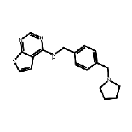 c1nc(NCc2ccc(CN3CCCC3)cc2)c2ccsc2n1